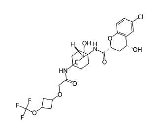 O=C(COC1CC(OC(F)(F)F)C1)NC12CCC(NC(=O)[C@H]3C[C@@H](O)c4cc(Cl)ccc4O3)(CC1)[C@@H](O)C2